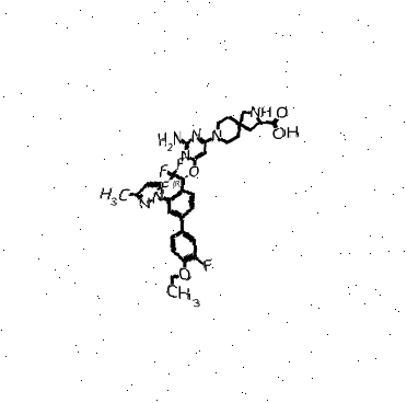 CCOc1ccc(-c2ccc([C@@H](Oc3cc(N4CCC5(CC4)CNC(C(=O)O)C5)nc(N)n3)C(F)(F)F)c(-n3ccc(C)n3)c2)cc1F